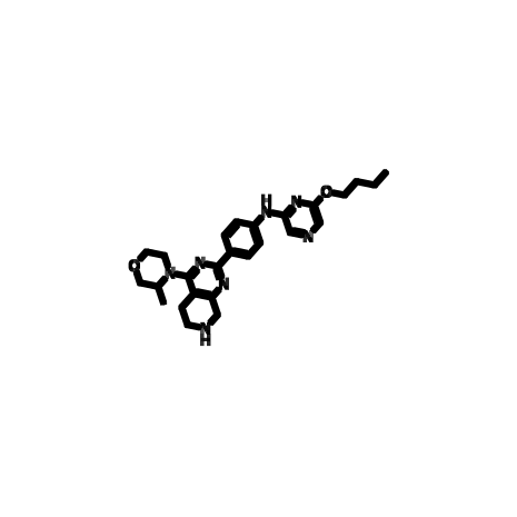 CCCCOc1cncc(Nc2ccc(-c3nc4c(c(N5CCOCC5C)n3)CCNC4)cc2)n1